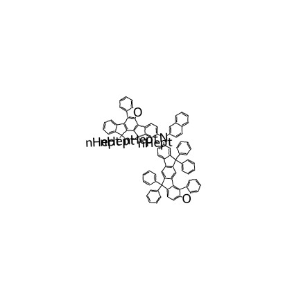 CCCCCCCC1(CCCCCCC)c2cc(N(c3ccc4c(c3)C(c3ccccc3)(c3ccccc3)c3cc5c(cc3-4)C(c3ccccc3)(c3ccccc3)c3ccc4oc6ccccc6c4c3-5)c3ccc4ccccc4c3)ccc2-c2c1c1c(c3c2oc2ccccc23)-c2ccccc2C1(CCCCCCC)CCCCCCC